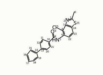 Cc1nc2c(Cl)c(NC(=O)c3ccc(-c4ccccc4)cc3)ccc2s1